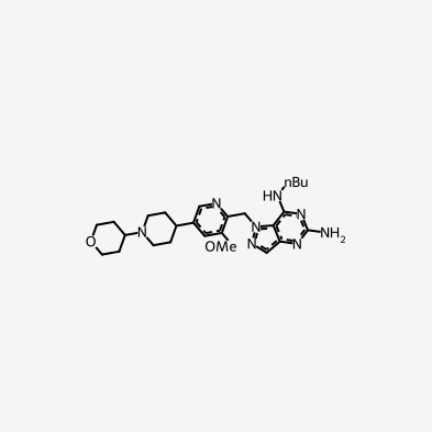 CCCCNc1nc(N)nc2cnn(Cc3ncc(C4CCN(C5CCOCC5)CC4)cc3OC)c12